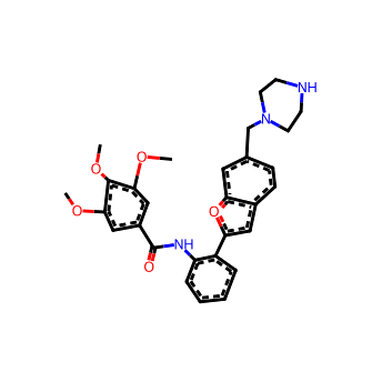 COc1cc(C(=O)Nc2ccccc2-c2cc3ccc(CN4CCNCC4)cc3o2)cc(OC)c1OC